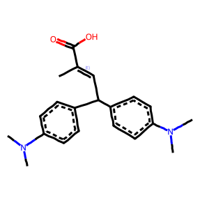 C/C(=C\C(c1ccc(N(C)C)cc1)c1ccc(N(C)C)cc1)C(=O)O